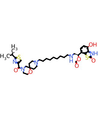 CC(C)c1nc(C(=O)N2CCOC3(CCN(CCCCCCCCCNC[C@H](OC=O)c4ccc(O)c5[nH]c(=O)sc45)CC3)C2)cs1